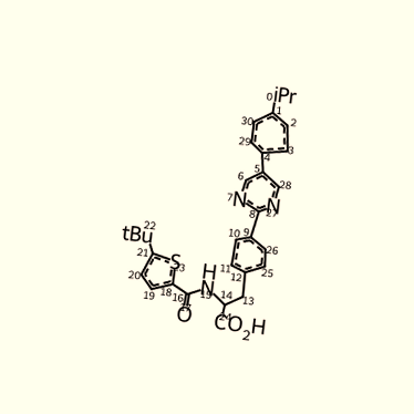 CC(C)c1ccc(-c2cnc(-c3ccc(CC(NC(=O)c4ccc(C(C)(C)C)s4)C(=O)O)cc3)nc2)cc1